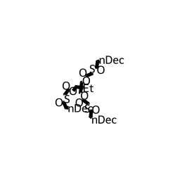 CCCCCCCCCCCC(=O)SCC(=O)OCC(CC)(COC(=O)CSC(=O)CCCCCCCCCCC)COC(=O)CSC(=O)CCCCCCCCCCC